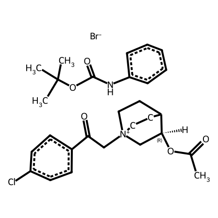 CC(=O)O[C@H]1C[N+]2(CC(=O)c3ccc(Cl)cc3)CCC1CC2.CC(C)(C)OC(=O)Nc1ccccc1.[Br-]